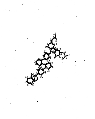 CC(C)Cc1ccc2c(c1)c1cc(CC(C)C)ccc1n2-c1ccc(-c2ccccc2-c2ccccc2-c2ccc(-c3nc4ccccc4o3)cc2)cc1